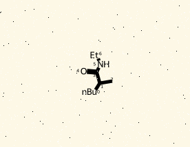 CCCCC(C)C(=O)NCC